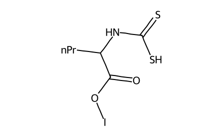 CCCC(NC(=S)S)C(=O)OI